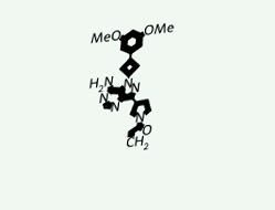 C=CC(=O)N1CC[C@H](c2nn([C@H]3C[C@H](c4cc(OC)cc(OC)c4)C3)c3c(N)ncnc23)C1